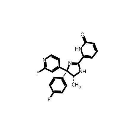 C[C@H]1NC(c2cccc(=O)[nH]2)=N[C@]1(c1ccc(F)cc1)c1ccnc(F)c1